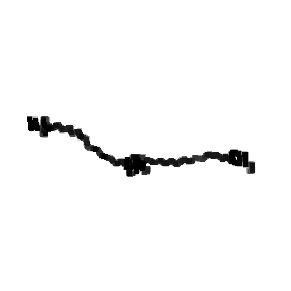 CCCCCCCCCCCCCCCCCCN1C=CN(CCCCCCCCCCCCCCCC)C1C